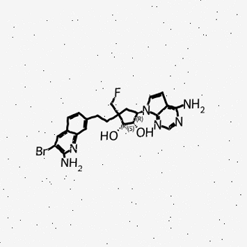 Nc1nc2cc(CCC3(CF)C[C@@H](n4ccc5c(N)ncnc54)[C@H](O)[C@@H]3O)ccc2cc1Br